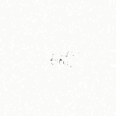 CC(OC(C)C(C)(Cl)C(C)(C)C)C(C)(Cl)C(C)(C)C